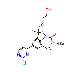 CC(C)(C)OC(=O)N1CC(C)(COCCO)c2cc(-c3ccnc(Cl)n3)cc(C#N)c21